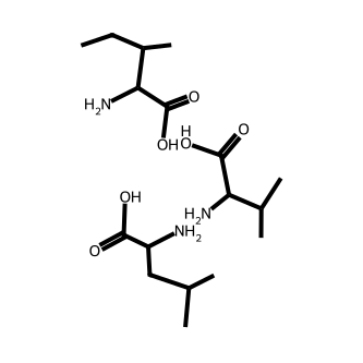 CC(C)C(N)C(=O)O.CC(C)CC(N)C(=O)O.CCC(C)C(N)C(=O)O